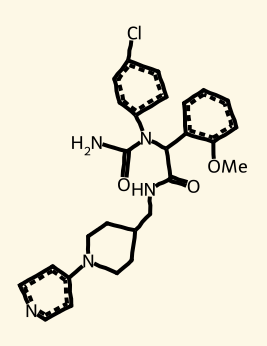 COc1ccccc1C(C(=O)NCC1CCN(c2ccncc2)CC1)N(C(N)=O)c1ccc(Cl)cc1